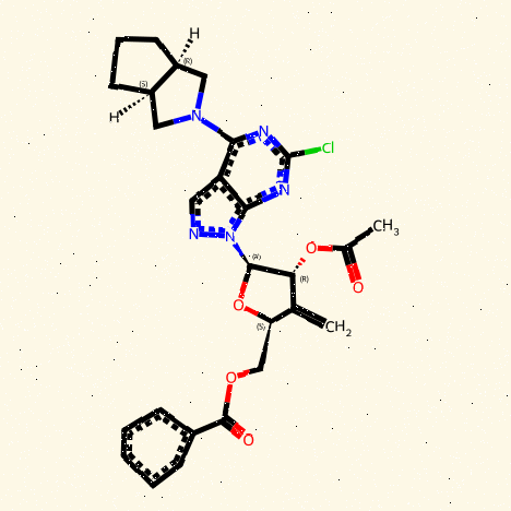 C=C1[C@@H](OC(C)=O)[C@H](n2ncc3c(N4C[C@H]5CCC[C@H]5C4)nc(Cl)nc32)O[C@@H]1COC(=O)c1ccccc1